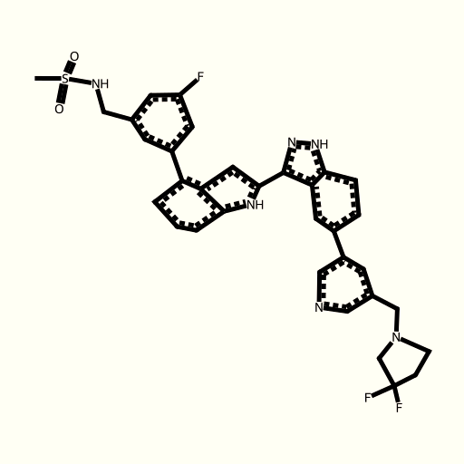 CS(=O)(=O)NCc1cc(F)cc(-c2cccc3[nH]c(-c4n[nH]c5ccc(-c6cncc(CN7CCC(F)(F)C7)c6)cc45)cc23)c1